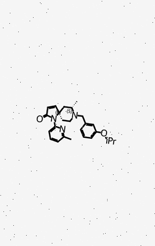 Cc1cccc(N2C(=O)C=C[C@]23CCN(Cc2cccc(OC(C)C)c2)[C@@H](C)C3)n1